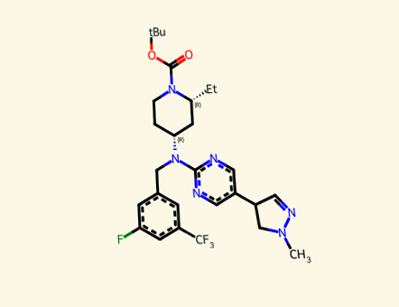 CC[C@@H]1C[C@H](N(Cc2cc(F)cc(C(F)(F)F)c2)c2ncc(C3C=NN(C)C3)cn2)CCN1C(=O)OC(C)(C)C